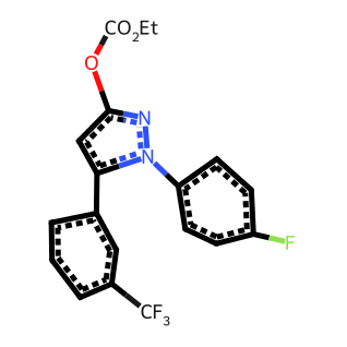 CCOC(=O)Oc1cc(-c2cccc(C(F)(F)F)c2)n(-c2ccc(F)cc2)n1